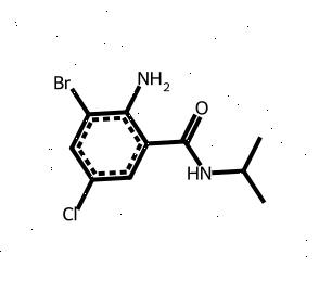 CC(C)NC(=O)c1cc(Cl)cc(Br)c1N